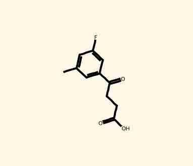 Cc1cc(F)cc(C(=O)CCC(=O)O)c1